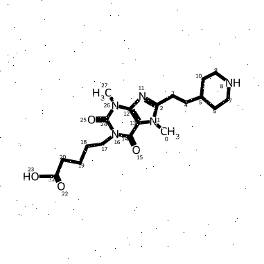 Cn1c(CCC2CCNCC2)nc2c1c(=O)n(CCCCC(=O)O)c(=O)n2C